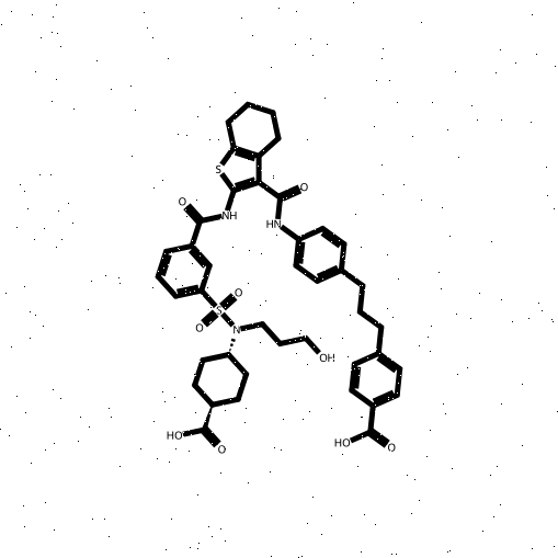 O=C(O)c1ccc(CCCc2ccc(NC(=O)c3c(NC(=O)c4cccc(S(=O)(=O)N(CCCO)[C@H]5CC[C@H](C(=O)O)CC5)c4)sc4c3CCCC4)cc2)cc1